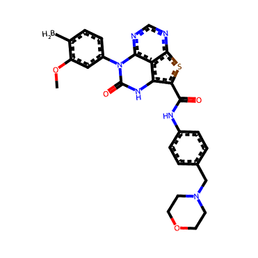 Bc1ccc(N2C(=O)Nc3c(C(=O)Nc4ccc(CN5CCOCC5)cc4)sc4ncnc2c34)cc1OC